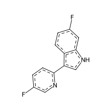 Fc1ccc(-c2c[nH]c3cc(F)ccc23)nc1